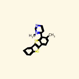 Cc1ccc2c(sc3c4ccccc4sc23)c1-c1ccnc[n+]1C